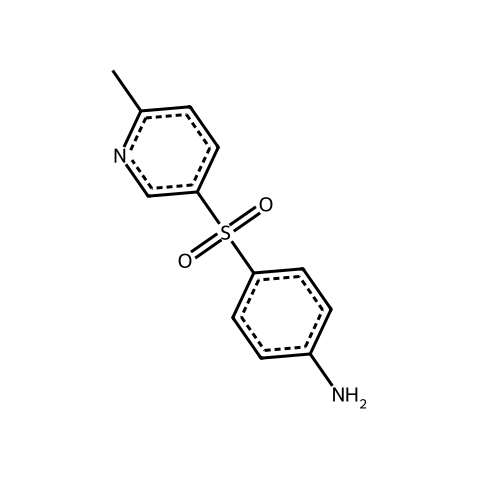 Cc1ccc(S(=O)(=O)c2ccc(N)cc2)cn1